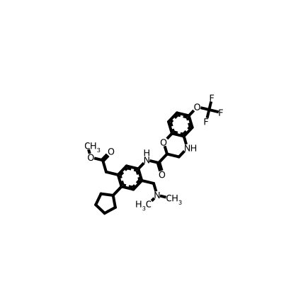 COC(=O)Cc1cc(NC(=O)C2CNc3cc(OC(F)(F)F)ccc3O2)c(CN(C)C)cc1C1CCCC1